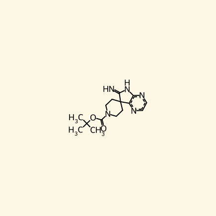 CC(C)(C)OC(=O)N1CCC2(CC1)C(=N)Nc1nccnc12